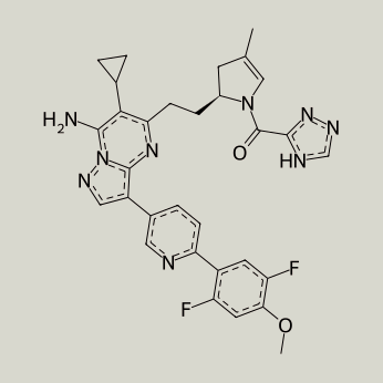 COc1cc(F)c(-c2ccc(-c3cnn4c(N)c(C5CC5)c(CC[C@H]5CC(C)=CN5C(=O)c5nnc[nH]5)nc34)cn2)cc1F